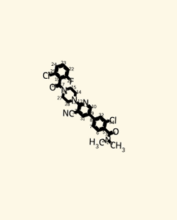 CN(C)C(=O)c1ccc(-c2cnc(N3CCN(C(=O)c4c(F)cccc4Cl)CC3)c(C#N)c2)cc1Cl